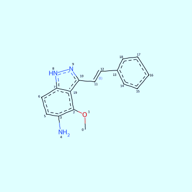 COc1c(N)ccc2[nH]nc(/C=C/c3ccccc3)c12